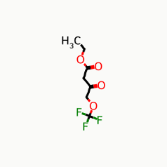 CCOC(=O)CC(=O)COC(F)(F)F